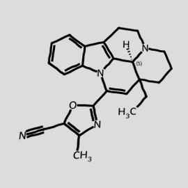 CCC12C=C(c3nc(C)c(C#N)o3)n3c4c(c5ccccc53)CCN(CCC1)[C@H]42